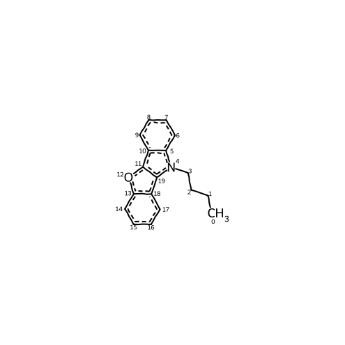 CCCCn1c2ccccc2c2oc3ccccc3c21